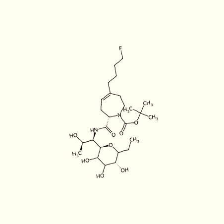 CCC1O[C@H]([C@H](NC(=O)[C@@H]2CC=C(CCCCF)CCN2C(=O)OC(C)(C)C)[C@@H](C)O)C(O)C(O)[C@H]1O